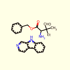 CCC(C)(C=O)C(N)C(=O)OCc1ccccc1.c1ccc2c(c1)[nH]c1cnccc12